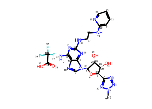 CCn1nnc([C@H]2O[C@@H](n3cnc4c(N)nc(NCCNc5ccccn5)nc43)[C@H](O)[C@@H]2O)n1.O=C(O)C(F)(F)F